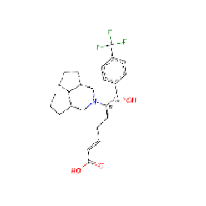 O=C(O)C=CCC[C@H]([C@@H](O)c1ccc(C(F)(F)F)cc1)N(CC1CCCC1)CC1CCCC1